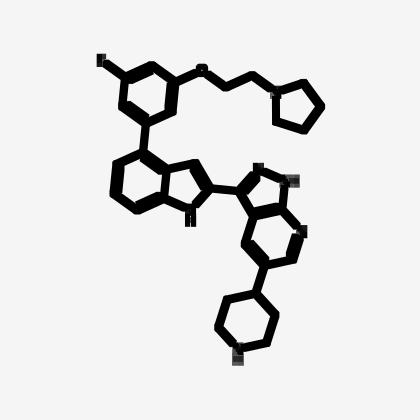 Fc1cc(OCCN2CCCC2)cc(-c2cccc3[nH]c(-c4n[nH]c5ncc(C6CCNCC6)cc45)cc23)c1